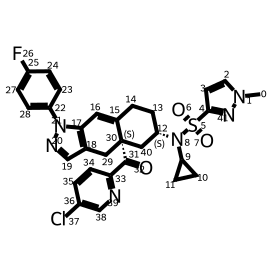 Cn1ccc(S(=O)(=O)N(C2CC2)[C@H]2CCC3=Cc4c(cnn4-c4ccc(F)cc4)C[C@]3(C(=O)c3ccc(Cl)cn3)C2)n1